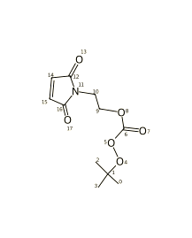 CC(C)(C)OOC(=O)OCCN1C(=O)C=CC1=O